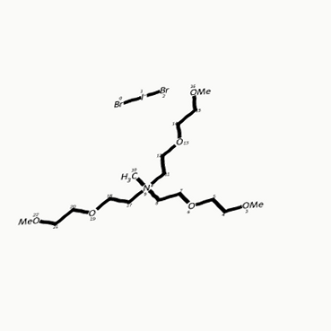 Br[I-]Br.COCCOCC[N+](C)(CCOCCOC)CCOCCOC